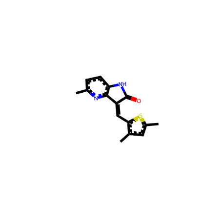 Cc1ccc2c(n1)C(=Cc1sc(C)cc1C)C(=O)N2